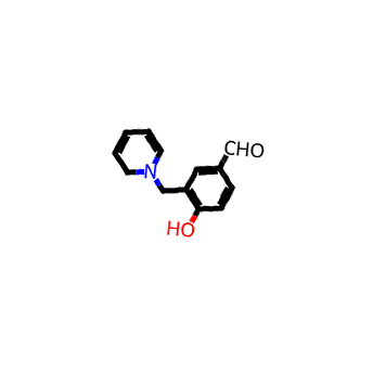 O=Cc1ccc(O)c(CN2C=CC=CC2)c1